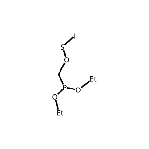 CCOP(COSI)OCC